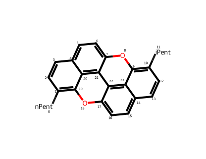 CCCCCc1ccc2ccc3oc4c(C(C)CCC)ccc5ccc6oc1c2c3-c6c54